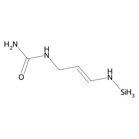 NC(=O)NCC=CN[SiH3]